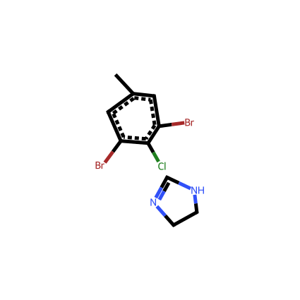 C1=NCCN1.Cc1cc(Br)c(Cl)c(Br)c1